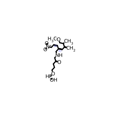 C=C(/C=C(\C=C/C[N+](=O)[O-])CNCC(=O)CCCOPO)C(C)COC